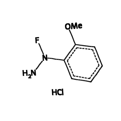 COc1ccccc1N(N)F.Cl